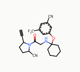 C#CC1CCC(C#N)N1C(=O)CNC1(Oc2cc(C#N)cc(C(F)(F)F)c2)CCCCC1